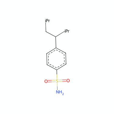 CC(C)CC(c1ccc(S(N)(=O)=O)cc1)C(C)C